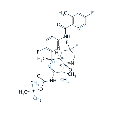 Cc1cc(F)cnc1C(=O)Nc1ccc(F)c([C@@]2(C)N=C(NC(=O)OC(C)(C)C)C(C)(C)[S@@]3(=O)=NCC(F)(F)C[C@H]23)n1